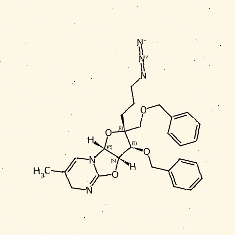 CC1=CN2C(=NC1)O[C@@H]1[C@H]2O[C@](CCCN=[N+]=[N-])(COCc2ccccc2)[C@H]1OCc1ccccc1